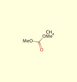 C.COC(=O)OC